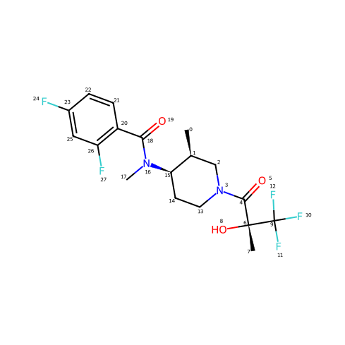 C[C@H]1CN(C(=O)[C@@](C)(O)C(F)(F)F)CC[C@H]1N(C)C(=O)c1ccc(F)cc1F